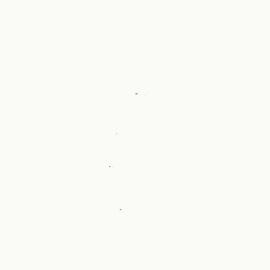 Cc1ccc(C2=CCC(c3ccc(C(F)(F)Oc4cc(F)c(F)c(F)c4)c(F)c3F)CC2)c(F)c1F